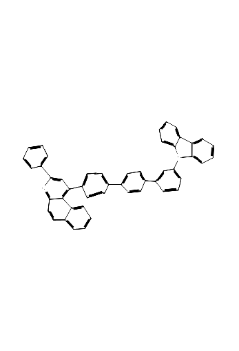 c1ccc(-c2cc(-c3ccc(-c4ccc(-c5cccc(-n6c7ccccc7c7ccccc76)c5)cc4)cc3)c3c(ccc4ccccc43)n2)cc1